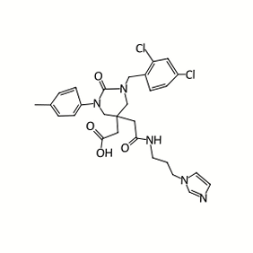 Cc1ccc(N2CC(CC(=O)O)(CC(=O)NCCCn3ccnc3)CN(Cc3ccc(Cl)cc3Cl)C2=O)cc1